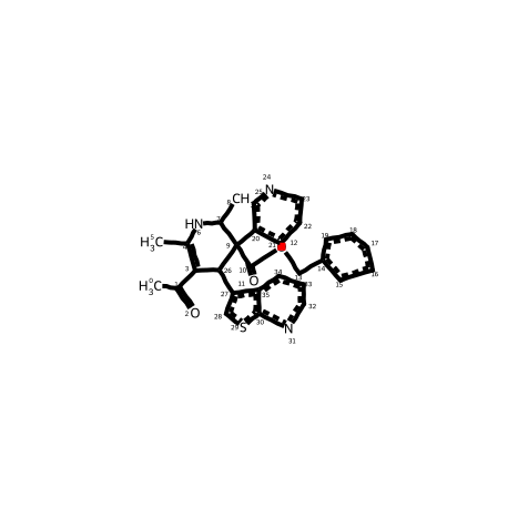 CC(=O)C1=C(C)NC(C)C(C(=O)OCc2ccccc2)(c2cccnc2)C1c1csc2ncccc12